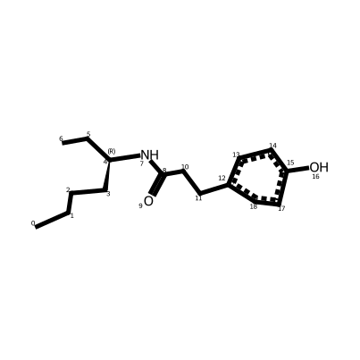 CCCC[C@@H](CC)NC(=O)CCc1ccc(O)cc1